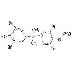 CC(C)(c1cc(Br)c(O)c(Br)c1)c1cc(Br)c(OC=O)c(Br)c1